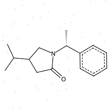 CC(C)C1CC(=O)N([C@H](C)c2ccccc2)C1